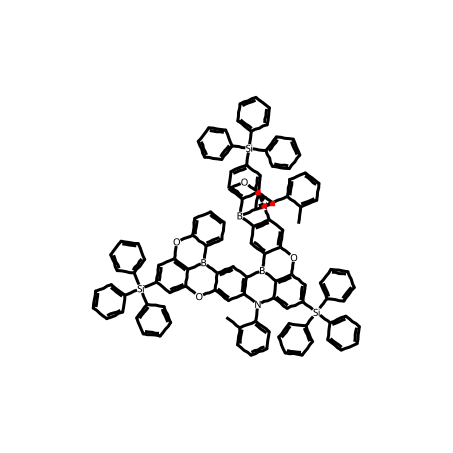 Cc1ccccc1N1c2cc3c(cc2B2c4cc5c(cc4Oc4cc([Si](c6ccccc6)(c6ccccc6)c6ccccc6)cc1c42)N(c1ccccc1C)c1cc([Si](c2ccccc2)(c2ccccc2)c2ccccc2)cc2c1B5c1ccccc1O2)B1c2ccccc2Oc2cc([Si](c4ccccc4)(c4ccccc4)c4ccccc4)cc(c21)O3